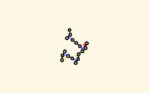 c1ccc(-c2ccc3c(c2)c2ccccc2n3-c2ccc(-c3ccc(-c4ccc(-n5c6cc(-c7ccc8sc9c(ccc%10c%11ccccc%11n(-c%11ccc(-c%12ccc(-n%13c%14ccccc%14c%14ccc%15c%16ccccc%16sc%15c%14%13)cc%12)cc%11)c%109)c8c7)ccc6c6ccc7c8ccccc8oc7c65)cc4)cc3)cc2)cc1